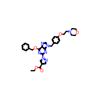 CCOC(=O)c1cnn(-c2nc(OCc3ccccc3)c3ncn(Cc4ccc(OCCN5CCOCC5)cc4)c3n2)c1